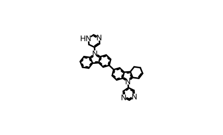 C1=Cc2c(c3cc(-c4ccc5c(c4)c4ccccc4n5C4=CN=CNC4)ccc3n2-c2cncnc2)CC1